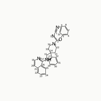 N#C/N=C(\Oc1ccccc1)N1CCC(CNc2nccc3ccccc23)(c2ccccc2)CC1